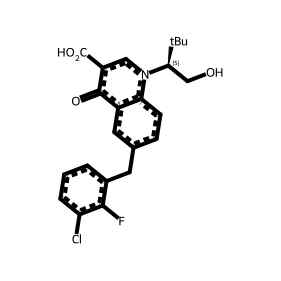 CC(C)(C)[C@@H](CO)n1cc(C(=O)O)c(=O)c2cc(Cc3cccc(Cl)c3F)ccc21